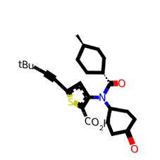 CC(C)(C)C#Cc1cc(N(C(=O)[C@H]2CC[C@H](C)CC2)C2CCC(=O)CC2)c(C(=O)O)s1